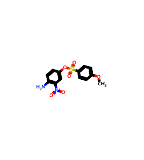 COc1ccc(S(=O)(=O)Oc2ccc(N)c([N+](=O)[O-])c2)cc1